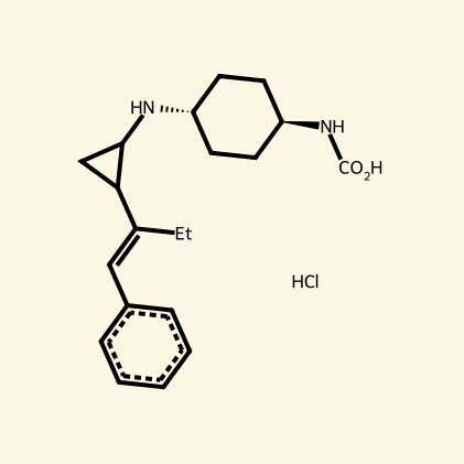 CC/C(=C\c1ccccc1)C1CC1N[C@H]1CC[C@H](NC(=O)O)CC1.Cl